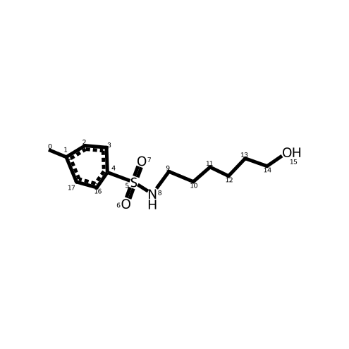 Cc1ccc(S(=O)(=O)NCCCCCCO)cc1